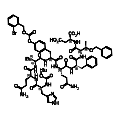 CC[C@H](C)[C@H](NC(=O)[C@H](CCC(N)=O)NC(=O)[C@H](Cc1c[nH]cn1)NC(=O)OC(C)(C)C)C(=O)N[C@@H](Cc1ccc(OC(=O)OCc2ccccc2Br)cc1)C(=O)N[C@@H](CCC(N)=O)C(=O)N[C@@H](Cc1ccccc1)C(=O)N[C@H](C(=O)N[C@@H](CC(=O)O)C(=O)O)[C@@H](C)OCc1ccccc1